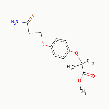 COC(=O)C(C)(C)Oc1ccc(OCCC(N)=S)cc1